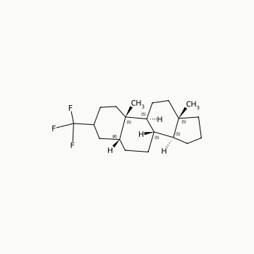 C[C@@]12CCC[C@H]1[C@@H]1CC[C@@H]3CC(C(F)(F)F)CC[C@]3(C)[C@H]1CC2